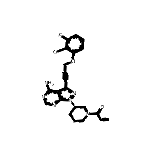 C=CC(=O)N1CCC[C@@H](n2nc(C#CCOc3cccc(F)c3Cl)c3c(N)ncnc32)C1